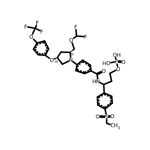 CCS(=O)(=O)c1ccc(C(CCOP(=O)(O)O)NC(=O)c2ccc(N3C[C@@H](Oc4ccc(OC(F)(F)F)cc4)C[C@H]3COC(F)F)cc2)cc1